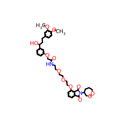 COc1ccc(CCC(O)c2cccc(OCC(=O)NCCOCCOCCOc3cccc4c3C(=O)N(C3CCCOOC3)C4=O)c2)cc1OC